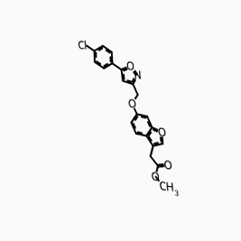 COC(=O)Cc1coc2cc(OCc3cc(-c4ccc(Cl)cc4)on3)ccc12